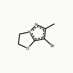 Cc1nn2c(c1Br)OCC2